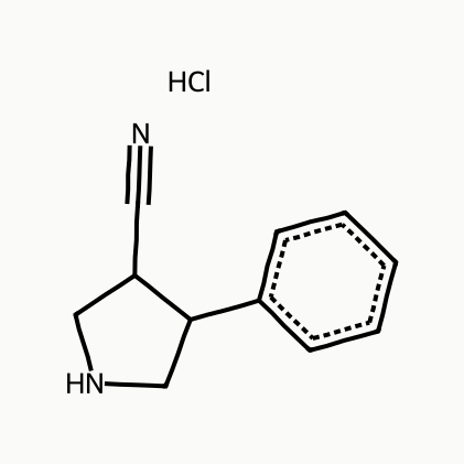 Cl.N#CC1CNCC1c1ccccc1